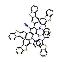 N#Cc1c(-c2ccc3c(c2)sc2ccccc23)c(-n2c3ccccc3c3c4sc5ccccc5c4ccc32)c(-n2c3ccccc3c3c4sc5ccccc5c4ccc32)c(-n2c3ccccc3c3c4sc5ccccc5c4ccc32)c1-c1ccc2c(c1)sc1ccccc12